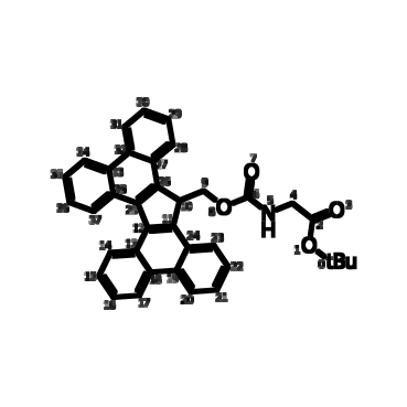 CC(C)(C)OC(=O)CNC(=O)OCC1c2c(c3ccccc3c3ccccc23)-c2c1c1ccccc1c1ccccc21